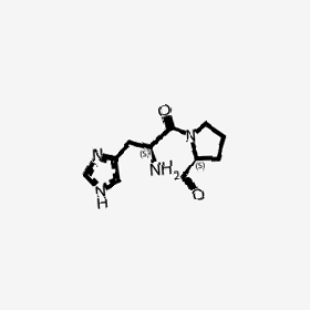 N[C@@H](Cc1c[nH]cn1)C(=O)N1CCC[C@H]1[C]=O